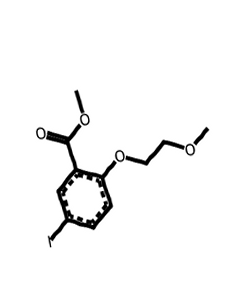 COCCOc1ccc(I)cc1C(=O)OC